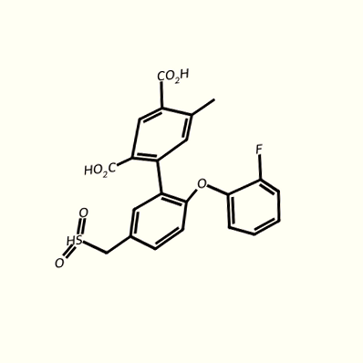 Cc1cc(-c2cc(C[SH](=O)=O)ccc2Oc2ccccc2F)c(C(=O)O)cc1C(=O)O